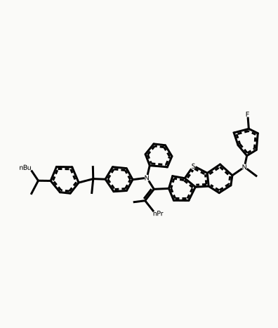 CCCCC(C)c1ccc(C(C)(C)c2ccc(N(/C(=C(\C)CCC)c3ccc4c(c3)sc3cc(N(C)c5ccc(F)cc5)ccc34)c3ccccc3)cc2)cc1